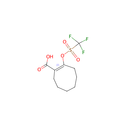 O=C(O)/C1=C(\OS(=O)(=O)C(F)(F)F)CCCCCC1